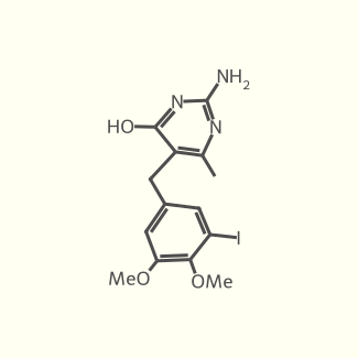 COc1cc(Cc2c(C)nc(N)nc2O)cc(I)c1OC